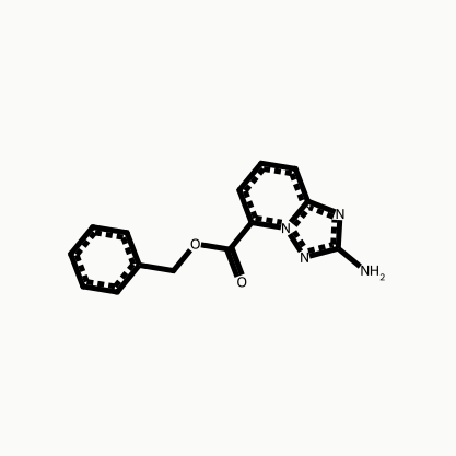 Nc1nc2cccc(C(=O)OCc3ccccc3)n2n1